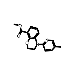 COC(=O)c1cccc2c1OCCN2c1ccc(C)cn1